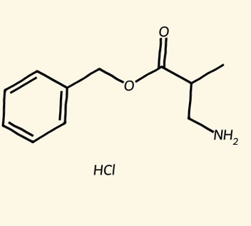 CC(CN)C(=O)OCc1ccccc1.Cl